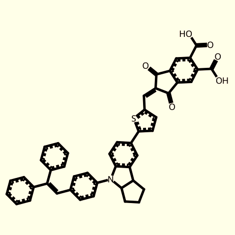 O=C(O)c1cc2c(cc1C(=O)O)C(=O)C(=Cc1ccc(-c3ccc4c(c3)C3CCCC3N4c3ccc(C=C(c4ccccc4)c4ccccc4)cc3)s1)C2=O